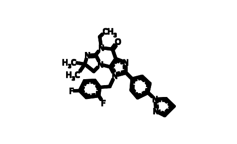 CCN1C(=O)c2nc(-c3ccc(-n4cccn4)cc3)n(Cc3ccc(F)cc3F)c2N2CC(C)(C)N=C12